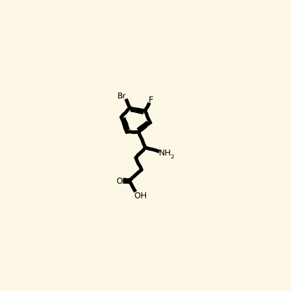 NC(CCC(=O)O)c1ccc(Br)c(F)c1